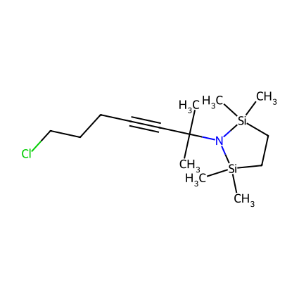 CC(C)(C#CCCCCl)N1[Si](C)(C)CC[Si]1(C)C